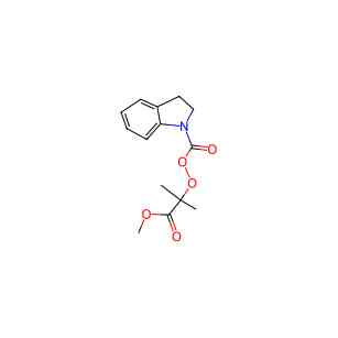 COC(=O)C(C)(C)OOC(=O)N1CCc2ccccc21